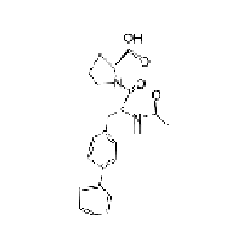 CC(=O)N[C@H](Cc1ccc(-c2ccccc2)cc1)C(=O)N1CCC[C@H]1C(=O)O